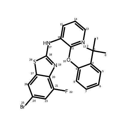 CC(C)(C)c1ccccc1Oc1ncccc1Nc1nc2c(F)cc(Br)cc2s1